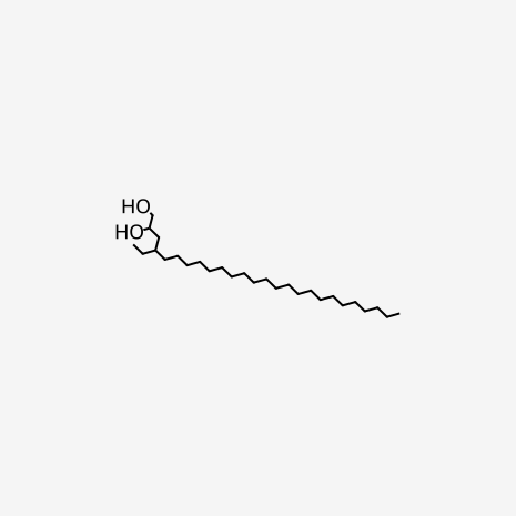 CCCCCCCCCCCCCCCCCCCCCCC(CC)CC(O)CO